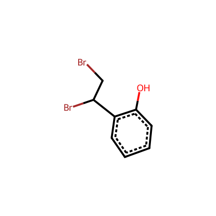 Oc1ccccc1C(Br)CBr